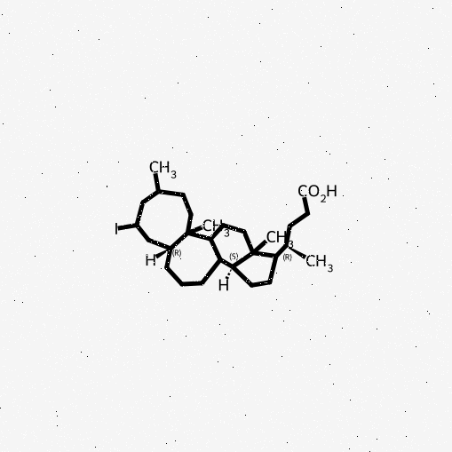 CC1CCC2(C)C3CCC4(C)C([C@H](C)CCC(=O)O)CC[C@H]4C3CCC[C@@H]2CC(I)C1